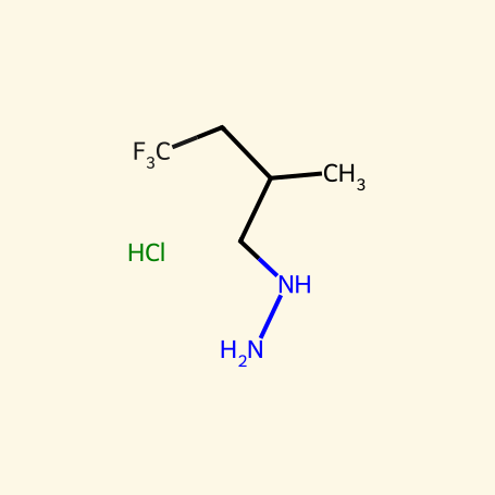 CC(CNN)CC(F)(F)F.Cl